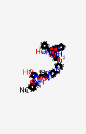 CC(C)[C@@H](C(=O)N1C[C@H](O)C[C@H]1C(=O)N[C@@H](C)c1ccc(C#N)cc1)c1cc(N2CCC(CN3CCC(O[C@H]4C[C@H](Oc5cc(N6C7CCCC6CN(c6cc(-c8ccccc8O)nnc6N)C7)ccn5)C4)CC3)CC2)no1